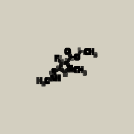 CCOC(=O)c1c(F)c(SNC)cn1C